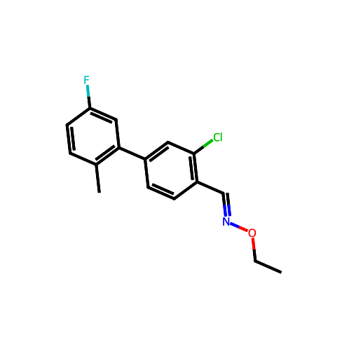 CCO/N=C/c1ccc(-c2cc(F)ccc2C)cc1Cl